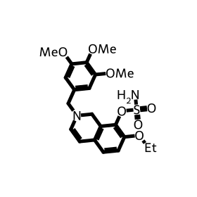 CCOc1ccc2c(c1OS(N)(=O)=O)CN(Cc1cc(OC)c(OC)c(OC)c1)C=C2